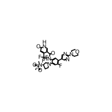 CN([C@@H]1CCN(c2cc(F)c(-c3cnc(N4CCOCC4)nc3)cc2NC(=O)c2c[nH]c(=O)cc2C(F)(F)F)C1)S(C)(=O)=O